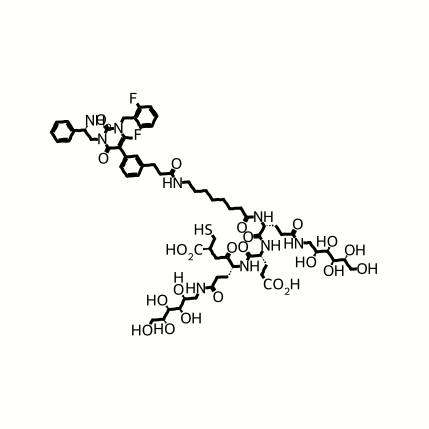 Cc1c(-c2cccc(CCC(=O)NCCCCCCCC(=O)N[C@H](CCC(=O)NC[C@H](O)[C@@H](O)[C@H](O)[C@H](O)CO)C(=O)N[C@H](CCC(=O)O)C(=O)N[C@H](CCC(=O)NC[C@H](O)[C@@H](O)[C@H](O)[C@H](O)CO)C(=O)C[C@H](CS)C(=O)O)c2)c(=O)n(C[C@@H](N)c2ccccc2)c(=O)n1Cc1c(F)cccc1F